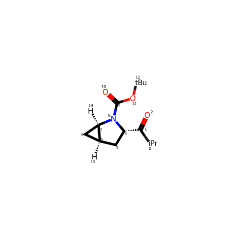 CC(C)C(=O)[C@@H]1C[C@H]2C[C@H]2N1C(=O)OC(C)(C)C